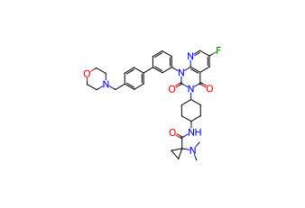 CN(C)C1(C(=O)NC2CCC(n3c(=O)c4cc(F)cnc4n(-c4cccc(-c5ccc(CN6CCOCC6)cc5)c4)c3=O)CC2)CC1